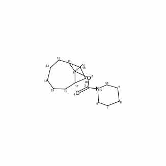 CC1(OC(=O)N2CCCCC2)C2CCCCCC1CC2